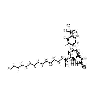 CCCCCCCCCCCCCCNc1nc(-c2ccc(C(C)(C)C)cc2)nc2cc(=O)[nH]n12